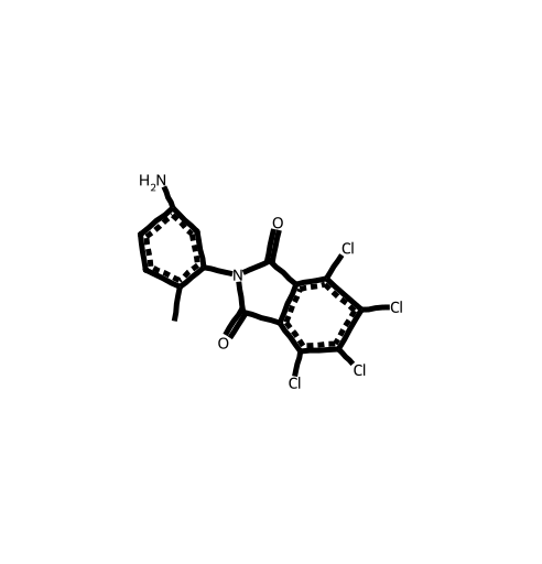 Cc1ccc(N)cc1N1C(=O)c2c(Cl)c(Cl)c(Cl)c(Cl)c2C1=O